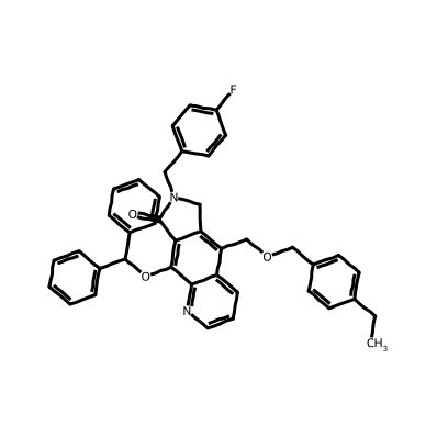 CCc1ccc(COCc2c3c(c(OC(c4ccccc4)c4ccccc4)c4ncccc24)C(=O)N(Cc2ccc(F)cc2)C3)cc1